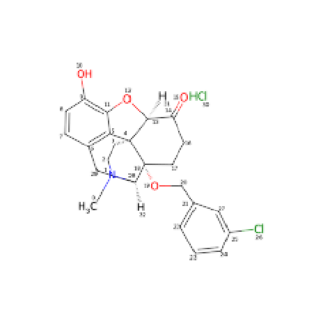 CN1CC[C@]23c4c5ccc(O)c4O[C@H]2C(=O)CC[C@@]3(OCc2cccc(Cl)c2)[C@H]1C5.Cl